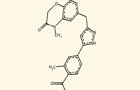 Cc1cc(-c2cc(Cc3ccc4c(c3)N(C)C(=O)CO4)n[nH]2)ccc1C(N)=O